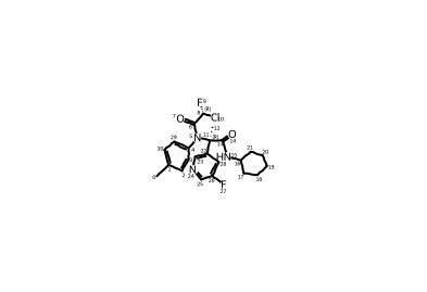 Cc1ccc(N(C(=O)[C@H](F)Cl)[C@@](C)(C(=O)NC2CCCCC2)c2cncc(F)c2)cc1